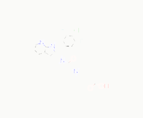 O=C(O)CC1CCN(CC(=O)N2CCc3c(n(Cc4ccc(F)c(Cl)c4F)c4ncccc34)C2)CC1